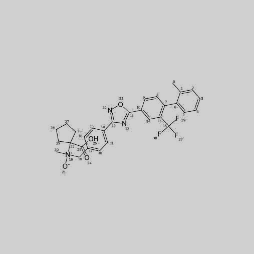 Cc1ccccc1-c1ccc(-c2nc(-c3ccc(C[N+](C)([O-])C4(C(=O)O)CCCC4)cc3)no2)cc1C(F)(F)F